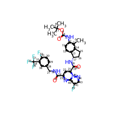 Cc1c(NC(=O)OC(C)(C)C)ccc2c1CC[C@@H]2NC(=O)c1cc(C(=O)NCc2ccc(F)c(C(F)(F)F)c2)nc2c(F)cnn12